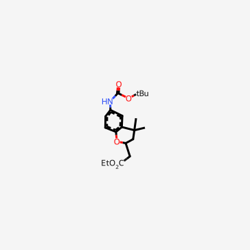 CCOC(=O)CC1CC(C)(C)c2cc(NC(=O)OC(C)(C)C)ccc2O1